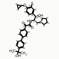 CC(C)(O)c1ccc(-c2ccc(C(=O)C(=O)N[C@H](CN3CCCC3)[C@H](O)c3ccc(OC4CC4)c(F)c3)cc2)cc1